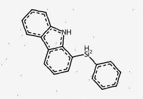 c1ccc([SiH2]c2cccc3c2[nH]c2ccccc23)cc1